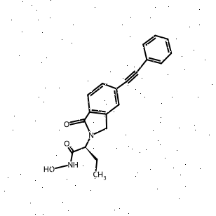 CC[C@@H](C(=O)NO)N1Cc2cc(C#Cc3ccccc3)ccc2C1=O